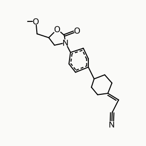 COCC1CN(c2ccc(C3CCC(=CC#N)CC3)cc2)C(=O)O1